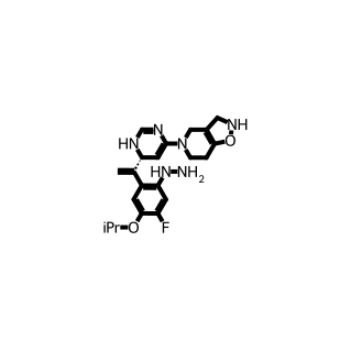 C=C(c1cc(OC(C)C)c(F)cc1NN)[C@H]1C=C(N2CCC3=C(CNO3)C2)N=CN1